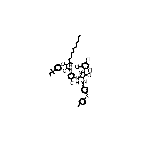 CCCCCCCCCCC(C)C(Oc1ccc(C(C)(C)CC)cc1)C(=O)Nc1ccc(Cl)c(NC2=NN(c3c(Cl)cc(Cl)cc3Cl)C(=O)C2N=Nc2ccc(Sc3ccc(C)cc3)cc2)c1